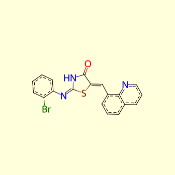 O=C1NC(=Nc2ccccc2Br)SC1=Cc1cccc2cccnc12